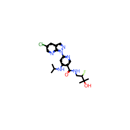 CC(C)Nc1cc(-n2ncc3cc(Cl)cnc32)ncc1C(=O)NCC(F)C(C)(C)O